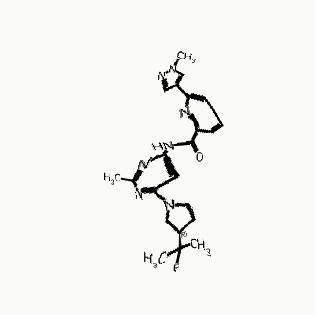 Cc1nc(NC(=O)c2cccc(-c3cnn(C)c3)n2)cc(N2CC[C@@H](C(C)(C)F)C2)n1